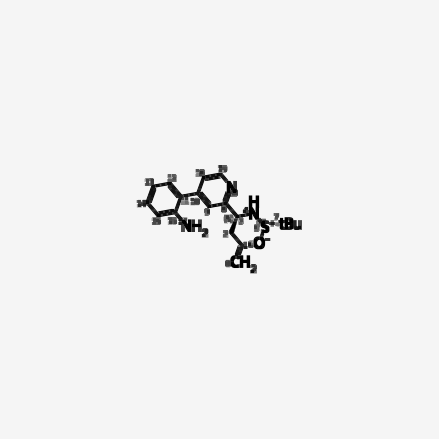 C=CC[C@H](N[S@@+]([O-])C(C)(C)C)c1cc(-c2ccccc2N)ccn1